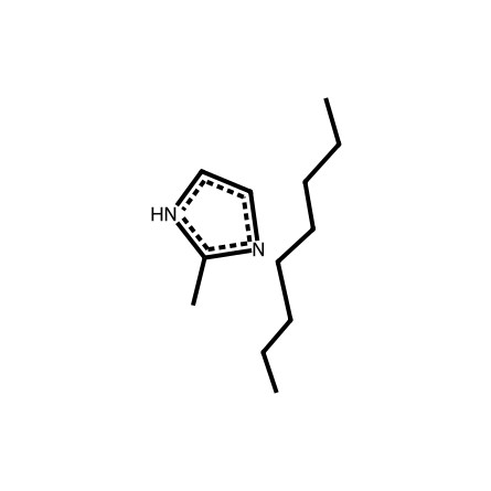 CCCCCCCC.Cc1ncc[nH]1